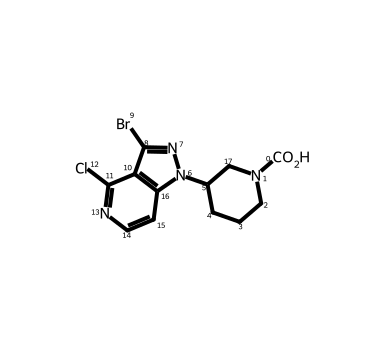 O=C(O)N1CCCC(n2nc(Br)c3c(Cl)nccc32)C1